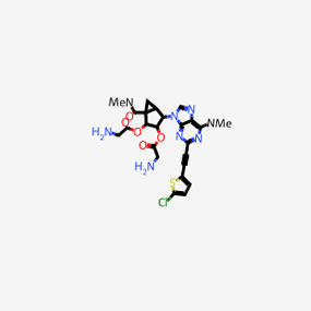 CNC(=O)C12CC1C(n1cnc3c(NC)nc(C#Cc4ccc(Cl)s4)nc31)C(OC(=O)CN)C2OC(=O)CN